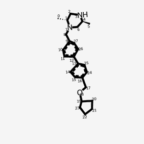 C[C@@H]1CN[C@@H](C)CN1Cc1ccc(-c2ccc(COC3CCCC3)cc2)cc1